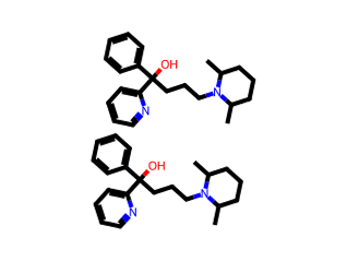 CC1CCCC(C)N1CCCC(O)(c1ccccc1)c1ccccn1.CC1CCCC(C)N1CCCC(O)(c1ccccc1)c1ccccn1